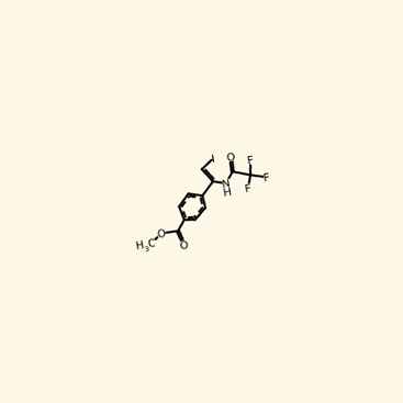 COC(=O)c1ccc(/C(=C/I)NC(=O)C(F)(F)F)cc1